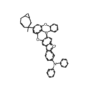 CC1(c2cc3c4c(c2)Oc2cc5c(cc2B4c2ccccc2O3)oc2cc(N(c3ccccc3)c3ccccc3)ccc25)C=CCC2CC2C1